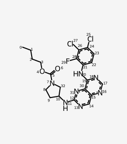 CCCCOC(=O)N1CCC(Nc2ncc3ncnc(Nc4ccc(Cl)c(Cl)c4F)c3n2)C1